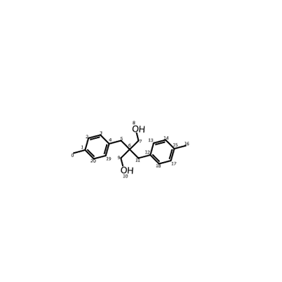 Cc1ccc(CC(CO)(CO)Cc2ccc(C)cc2)cc1